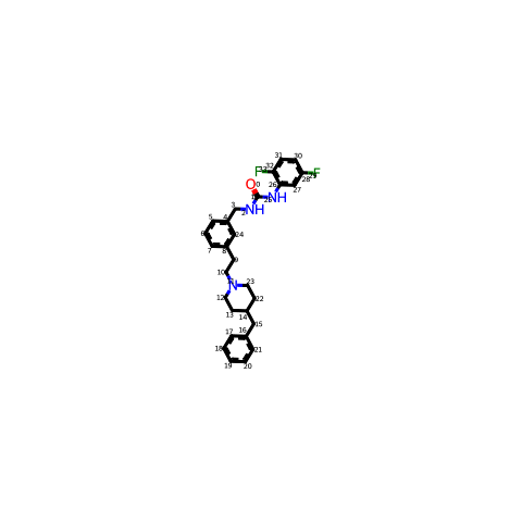 O=C(NCc1cccc(CCN2CCC(Cc3ccccc3)CC2)c1)Nc1cc(F)ccc1F